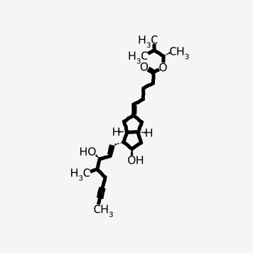 CC#CCC(C)[C@H](O)/C=C/[C@@H]1[C@H]2C/C(=C/CCCC(=O)O[C@@H](C)C(C)C)C[C@H]2C[C@H]1O